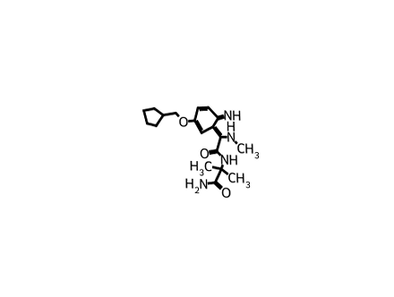 CN/C(C(=O)NC(C)(C)C(N)=O)=C1/C=C(OCC2CCCC2)C=CC1=N